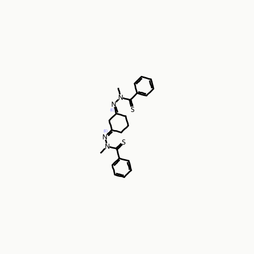 CN(/N=C1\CCC/C(=N\N(C)C(=S)c2ccccc2)C1)C(=S)c1ccccc1